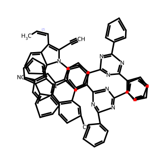 C#Cc1c(/C=C\C)c2ccccc2n1-c1ccc(-c2nc(-c3ccccc3)nc(-c3ccccc3)n2)cc1-c1cc(C#N)ccc1-c1ccc(C#N)cc1-c1cc(-c2nc(-c3ccccc3)nc(-c3ccccc3)n2)ccc1-n1c2ccccc2c2ccccc21